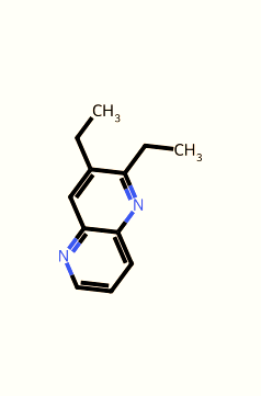 CCc1cc2ncccc2nc1CC